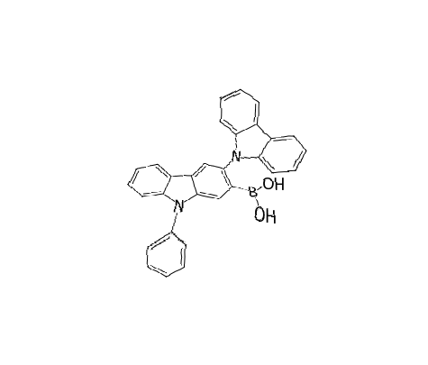 OB(O)c1cc2c(cc1-n1c3ccccc3c3ccccc31)c1ccccc1n2-c1ccccc1